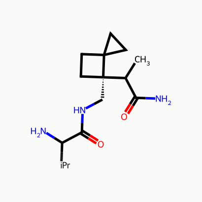 CC(C)C(N)C(=O)NC[C@]1(C(C)C(N)=O)CCC12CC2